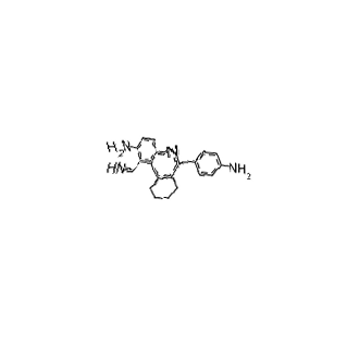 N=Cc1c(N)ccc2nc(-c3ccc(N)cc3)c3c(c12)CCCC3